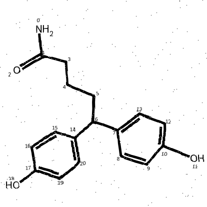 NC(=O)CCCC(c1ccc(O)cc1)c1ccc(O)cc1